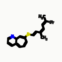 C/C(C=CSC1=CC2N=CC=CC2=CC=C1)=C/C=C(/C)C(C)C